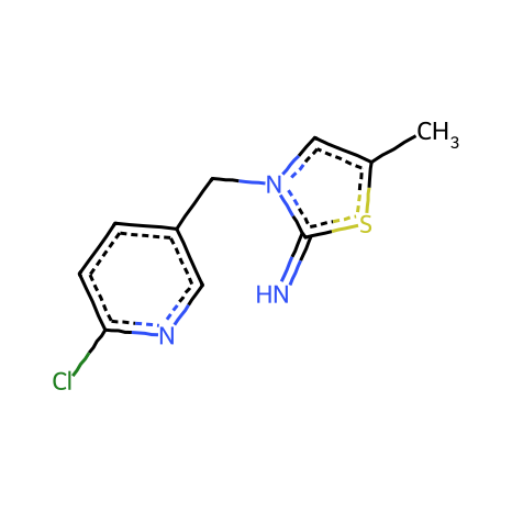 Cc1cn(Cc2ccc(Cl)nc2)c(=N)s1